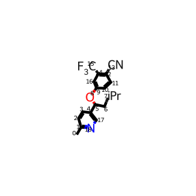 Cc1ccc(C(CC(C)C)Oc2ccc(C#N)c(C(F)(F)F)c2)cn1